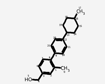 Cc1cc(CO)ccc1-c1ccc(C2CCC(C)CC2)cc1